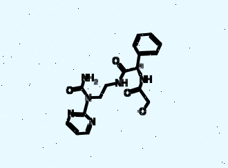 NC(=O)N(CCNC(=O)[C@H](NC(=O)C[O])c1ccccc1)c1ncccn1